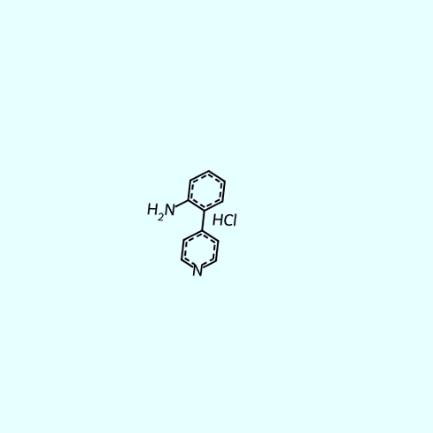 Cl.Nc1ccccc1-c1ccncc1